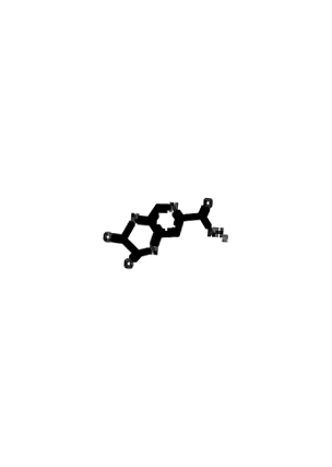 NC(=O)c1cc2c(cn1)=NC(=O)C(=O)N=2